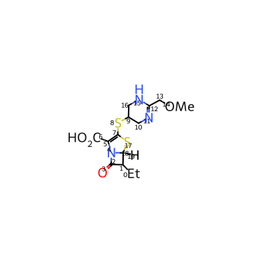 CCC1C(=O)N2C(C(=O)O)=C(SC3CN=C(COC)NC3)S[C@H]12